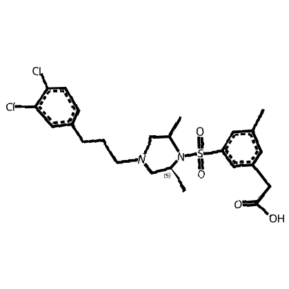 Cc1cc(CC(=O)O)cc(S(=O)(=O)N2C(C)CN(CCCc3ccc(Cl)c(Cl)c3)C[C@@H]2C)c1